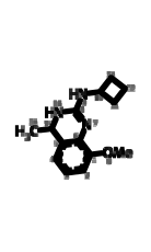 COc1cccc2c1N=C(NC1CCC1)NC2C